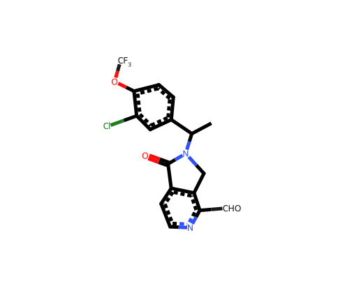 CC(c1ccc(OC(F)(F)F)c(Cl)c1)N1Cc2c(ccnc2C=O)C1=O